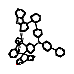 c1ccc(-c2ccc(N(c3ccc(-c4ccccc4-c4cccc5oc6ccccc6c45)cc3)c3ccc4c(c3)C35C(c6ccccc6C46c4ccccc4-c4ccccc46)C4C[C@@H]3CCC[C@H]5C4)cc2)cc1